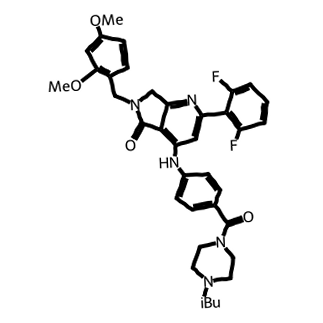 CCC(C)N1CCN(C(=O)c2ccc(Nc3cc(-c4c(F)cccc4F)nc4c3C(=O)N(Cc3ccc(OC)cc3OC)C4)cc2)CC1